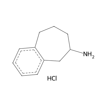 Cl.NC1CCCc2ccccc2C1